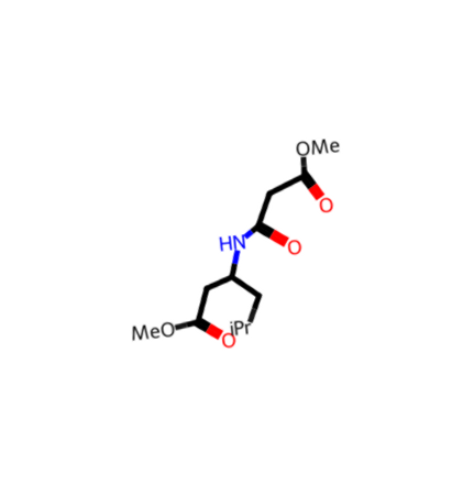 COC(=O)CC(=O)NC(CC(=O)OC)CC(C)C